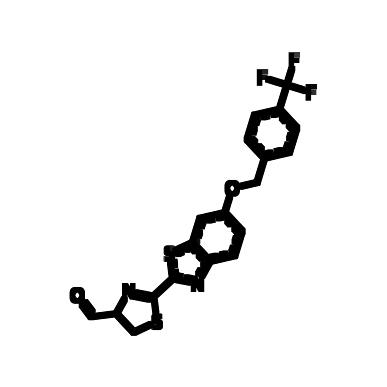 O=CC1CSC(c2nc3ccc(OCc4ccc(C(F)(F)F)cc4)cc3s2)=N1